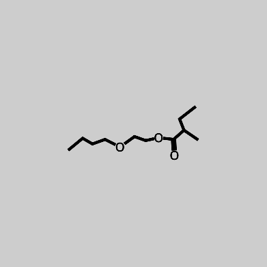 CCCCOCCOC(=O)C(C)CC